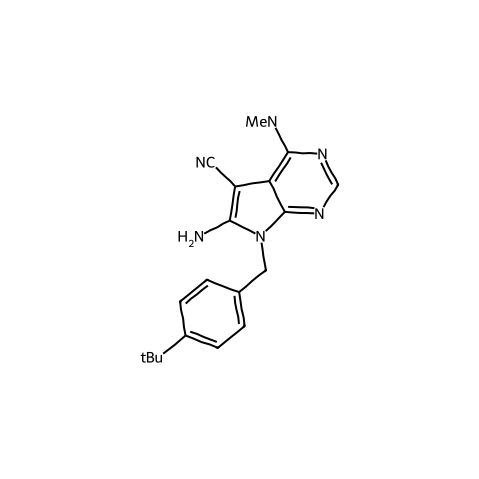 CNc1ncnc2c1c(C#N)c(N)n2Cc1ccc(C(C)(C)C)cc1